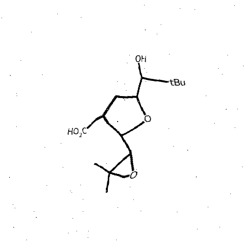 CC(C)(C)C(O)C1CC(C(=O)O)C(C2OC2(C)C)O1